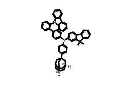 CC1(C)c2ccccc2-c2ccc(N(c3ccc(-c4ccccc4-n4c5ccccc5c5ccccc54)cc3)c3ccc(C45CC6CC[C@H](C[C@@H](C6)C4)C5)cc3)cc21